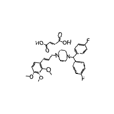 COc1ccc(/C=C/CN2CCN(C(c3ccc(F)cc3)c3ccc(F)cc3)CC2)c(OC)c1OC.O=C(O)/C=C/C(=O)O